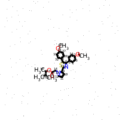 COc1ccc(-c2nc(-c3cccn3CC(=O)OC(C)C(C)C)sc2-c2ccc(OC)cc2)cc1